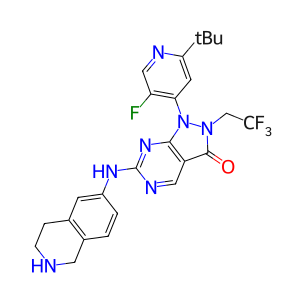 CC(C)(C)c1cc(-n2c3nc(Nc4ccc5c(c4)CCNC5)ncc3c(=O)n2CC(F)(F)F)c(F)cn1